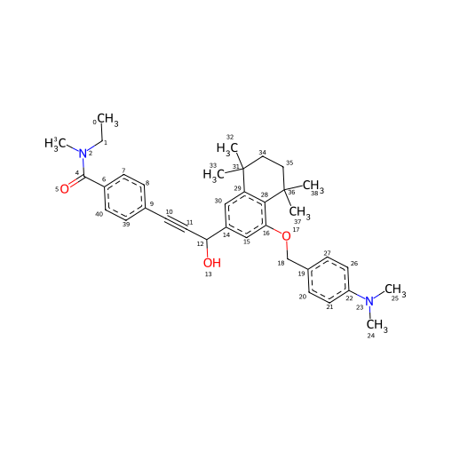 CCN(C)C(=O)c1ccc(C#CC(O)c2cc(OCc3ccc(N(C)C)cc3)c3c(c2)C(C)(C)CCC3(C)C)cc1